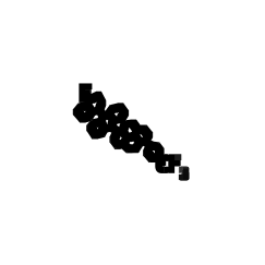 Fc1ccc(-c2c3ccccc3c(-c3ccc4ccc5c(-c6ccc(C(F)(F)F)cc6)ccc6ccc3c4c65)c3ccccc23)c2ccccc12